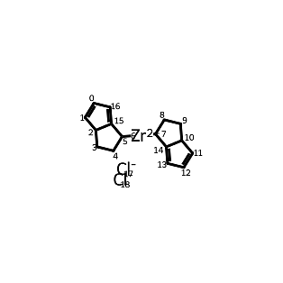 C1=CC2CC[CH]([Zr+2][CH]3CCC4C=CC=C43)C2=C1.[Cl-].[Cl-]